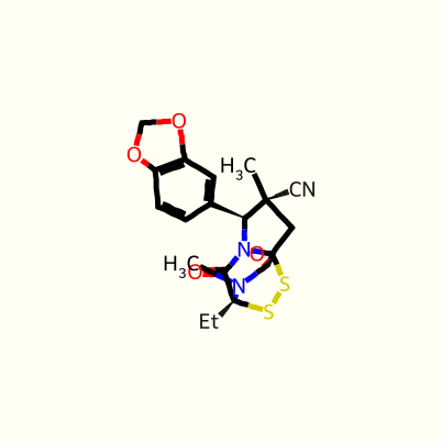 CC[C@@]12SSC3(C[C@](C)(C#N)[C@H](c4ccc5c(c4)OCO5)N3C1=O)C(=O)N2C